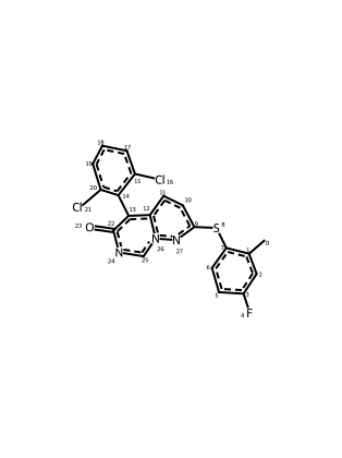 Cc1cc(F)ccc1Sc1ccc2c(-c3c(Cl)cccc3Cl)c(=O)ncn2n1